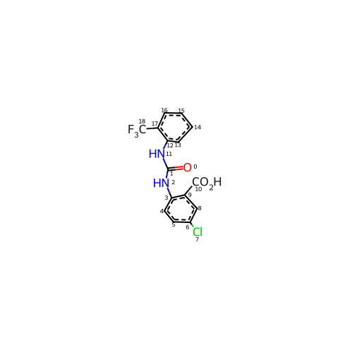 O=C(Nc1ccc(Cl)cc1C(=O)O)Nc1ccccc1C(F)(F)F